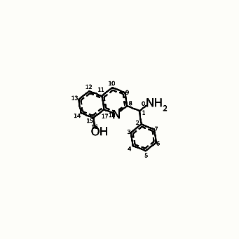 NC(c1ccccc1)c1ccc2cccc(O)c2n1